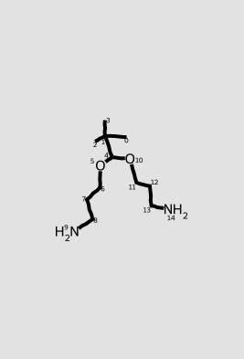 CC(C)(C)C(OCCCN)OCCCN